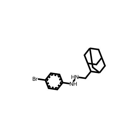 Brc1ccc(NNCC2C3CC4CC(C3)CC2C4)cc1